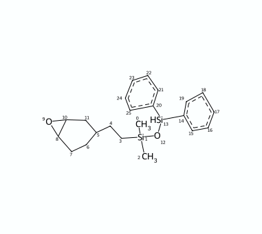 C[Si](C)(CCC1CCC2OC2C1)O[SiH](c1ccccc1)c1ccccc1